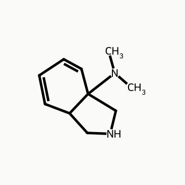 CN(C)C12C=CC=CC1CNC2